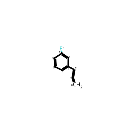 C=C=Cc1cccc(F)c1